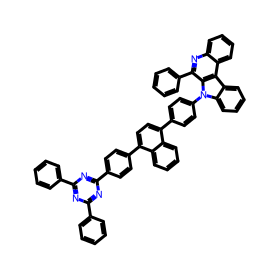 c1ccc(-c2nc(-c3ccccc3)nc(-c3ccc(-c4ccc(-c5ccc(-n6c7ccccc7c7c8ccccc8nc(-c8ccccc8)c76)cc5)c5ccccc45)cc3)n2)cc1